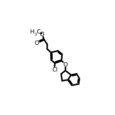 COC(=O)CCc1ccc(OC2CCc3ccccc32)c(Cl)c1